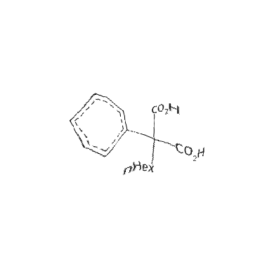 CCCCCCC(C(=O)O)(C(=O)O)c1ccccc1